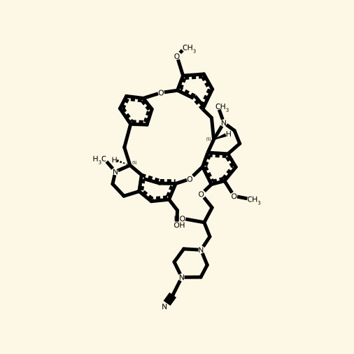 COc1ccc2cc1Oc1ccc(cc1)C[C@H]1c3cc(c(CO)cc3CCN1C)Oc1c(OCC(O)CN3CCN(C#N)CC3)c(OC)cc3c1[C@H](C2)N(C)CC3